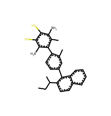 Bc1c(C)c(-c2ccc(-c3c(C(C)CC)ccc4ccccc34)cc2C)c(B)c(S)c1S